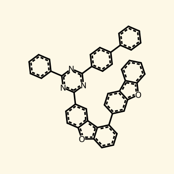 c1ccc(-c2ccc(-c3nc(-c4ccccc4)nc(-c4ccc5oc6cccc(-c7ccc8c(c7)oc7ccccc78)c6c5c4)n3)cc2)cc1